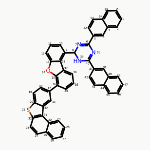 c1ccc2cc(C3=NC(c4cccc5oc6c(-c7ccc8sc9ccc%10ccccc%10c9c8c7)cccc6c45)NC(c4ccc5ccccc5c4)=N3)ccc2c1